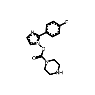 O=C(On1ccnc1-c1ccc(F)cc1)N1CCNCC1